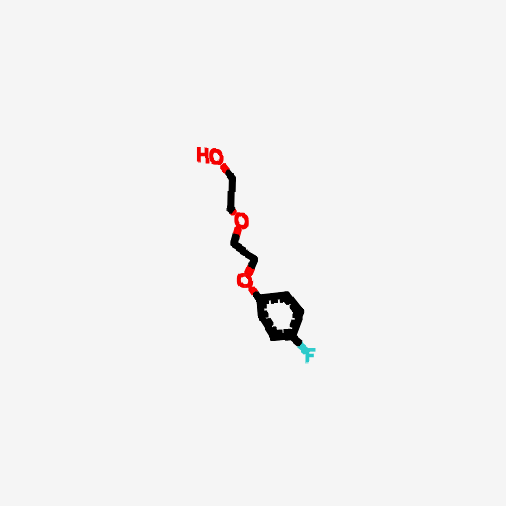 OCCOCCOc1ccc(F)cc1